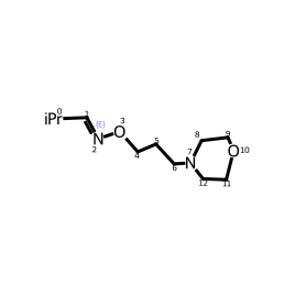 CC(C)/C=N/OCCCN1CCOCC1